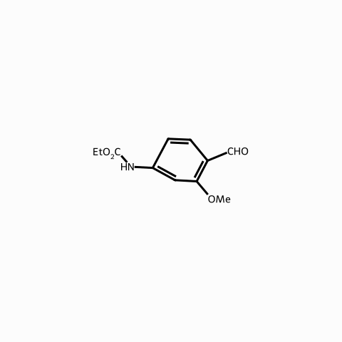 CCOC(=O)Nc1ccc(C=O)c(OC)c1